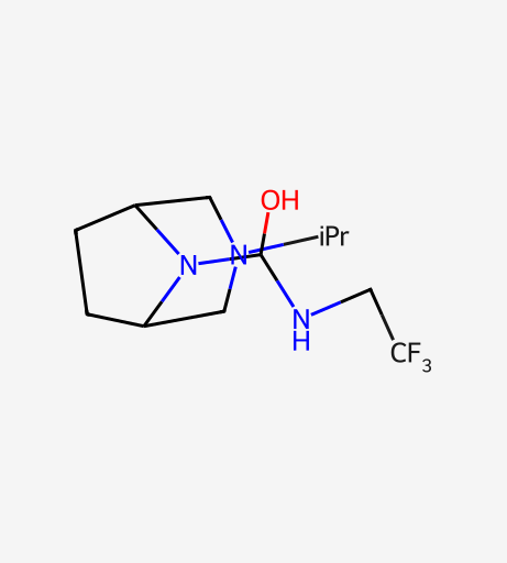 CC(C)N1CC2CCC(C1)N2C(O)NCC(F)(F)F